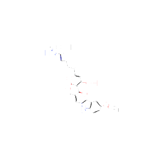 CCCOc1ccc2c(c1)cc(C=C(C)C(=O)c1c(O)cc(C(C)CC/C=C/NC(=O)O)oc1=O)n2C